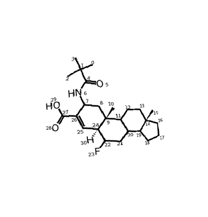 CC(C)(C)C(=O)NC1C[C@]2(C)C3CC[C@]4(C)CCCC4C3CC(F)[C@H]2C=C1C(=O)O